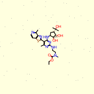 CCOC(=O)N(C)CCNc1nc(C)c(-c2nc3c(C)nccc3s2)c(NC2C[C@H](C(C)(C)O)[C@@H](O)[C@H]2O)n1